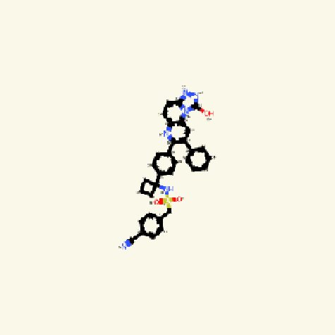 N#Cc1ccc(CS(=O)(=O)NC2(c3ccc(-c4nc5ccc6nnc(O)n6c5cc4-c4ccccc4)cc3)CCC2)cc1